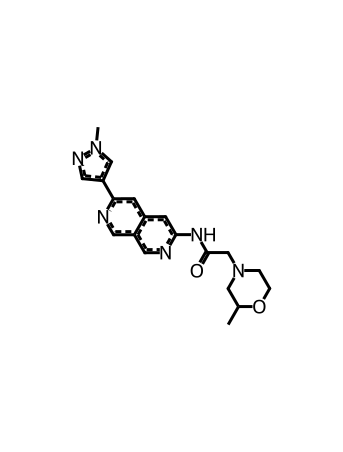 CC1CN(CC(=O)Nc2cc3cc(-c4cnn(C)c4)ncc3cn2)CCO1